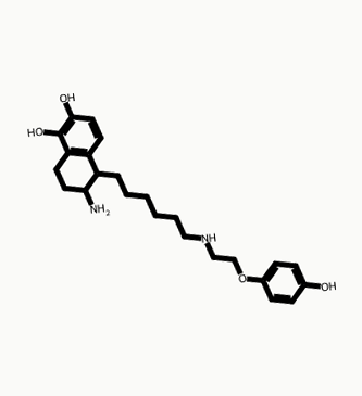 NC1CCc2c(ccc(O)c2O)C1CCCCCCNCCOc1ccc(O)cc1